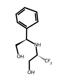 OC[C@H](N[C@@H](CO)C(F)(F)F)c1ccccc1